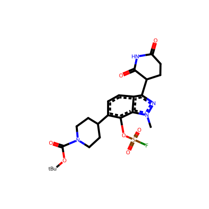 Cn1nc(C2CCC(=O)NC2=O)c2ccc(C3CCN(C(=O)OC(C)(C)C)CC3)c(OS(=O)(=O)F)c21